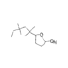 CCC(C)(C)CC(C)(C)C1CCC(O)O1